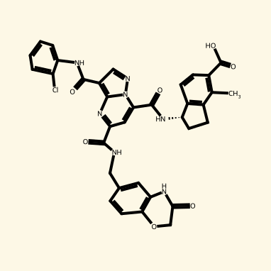 Cc1c(C(=O)O)ccc2c1CC[C@@H]2NC(=O)c1cc(C(=O)NCc2ccc3c(c2)NC(=O)CO3)nc2c(C(=O)Nc3ccccc3Cl)cnn12